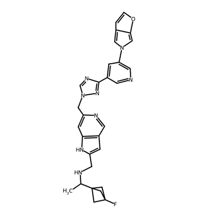 CC(NCc1cc2cnc(Cn3cnc(-c4cncc(-n5cc6ccoc6c5)c4)n3)cc2[nH]1)C12CC(F)(C1)C2